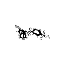 CS(=O)(=O)c1ccc(S(=O)(=O)NC23CC4CC(CC(O)(C4)C2)C3)cc1